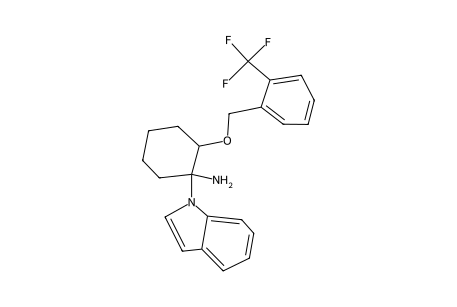 NC1(n2ccc3ccccc32)CCCCC1OCc1ccccc1C(F)(F)F